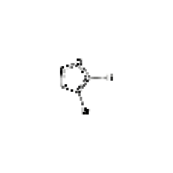 [Li][c]1occc1Br